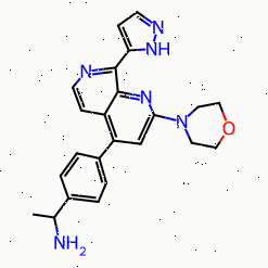 CC(N)c1ccc(-c2cc(N3CCOCC3)nc3c(-c4ccn[nH]4)nccc23)cc1